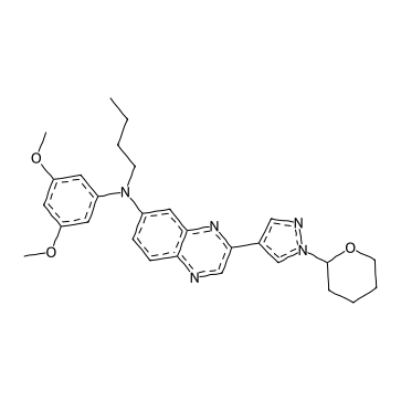 CCCCN(c1cc(OC)cc(OC)c1)c1ccc2ncc(-c3cnn(C4CCCCO4)c3)nc2c1